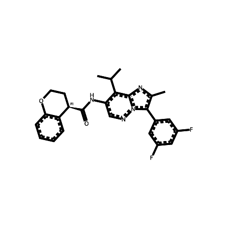 Cc1nc2c(C(C)C)c(NC(=O)[C@@H]3CCOc4ccccc43)cnn2c1-c1cc(F)cc(F)c1